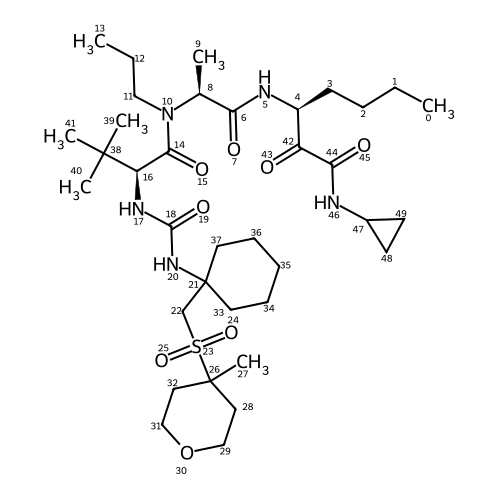 CCCC[C@H](NC(=O)[C@H](C)N(CCC)C(=O)[C@@H](NC(=O)NC1(CS(=O)(=O)C2(C)CCOCC2)CCCCC1)C(C)(C)C)C(=O)C(=O)NC1CC1